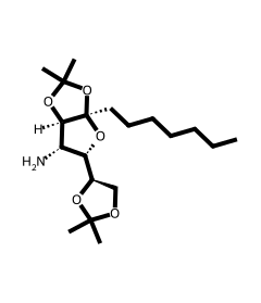 CCCCCCC[C@]12O[C@H]([C@H]3COC(C)(C)O3)[C@H](N)[C@H]1OC(C)(C)O2